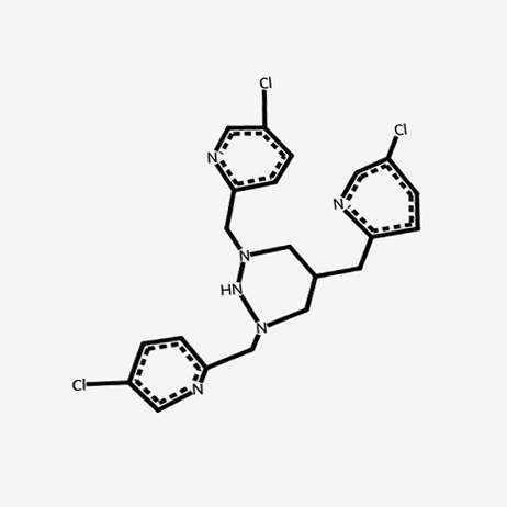 Clc1ccc(CC2CN(Cc3ccc(Cl)cn3)NN(Cc3ccc(Cl)cn3)C2)nc1